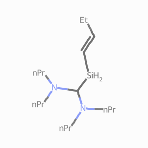 CCC=C[SiH2]C(N(CCC)CCC)N(CCC)CCC